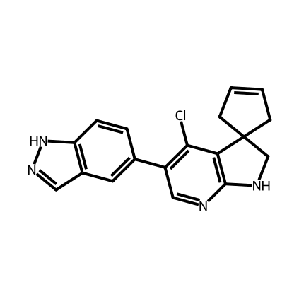 Clc1c(-c2ccc3[nH]ncc3c2)cnc2c1C1(CC=CC1)CN2